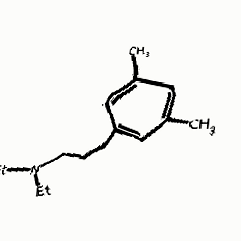 CCN(CC)CCc1[c]c(C)cc(C)c1